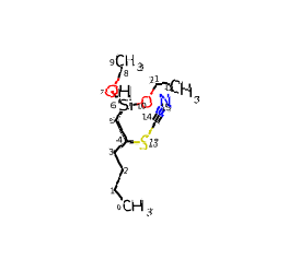 CCCCC(C[SiH](OCC)OCC)SC#N